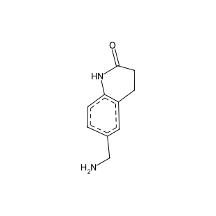 NCc1ccc2c(c1)CCC(=O)N2